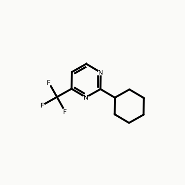 FC(F)(F)c1c[c]nc(C2CCCCC2)n1